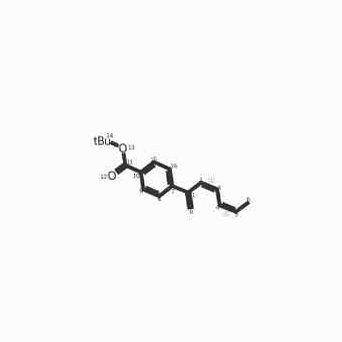 C=C(/C=C\C=C/C)c1ccc(C(=O)OC(C)(C)C)cc1